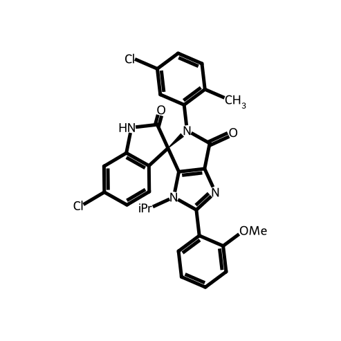 COc1ccccc1-c1nc2c(n1C(C)C)[C@]1(C(=O)Nc3cc(Cl)ccc31)N(c1cc(Cl)ccc1C)C2=O